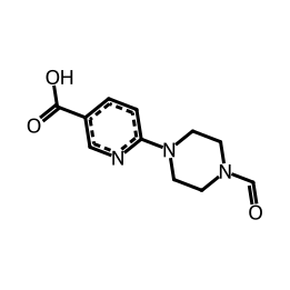 O=CN1CCN(c2ccc(C(=O)O)cn2)CC1